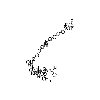 COc1cnc(-n2cnc(C(=O)N[C@H]3C[C@@H](CO)N(CCOCCOCCOCCOCc4cn(CCOCCOCCOCCOCCC(=O)Oc5c(F)cc(F)cc5F)nn4)C3)n2)c2[nH]cc(C(=O)C(=O)N3CCC(=C(C#N)c4ccccc4)CC3)c12